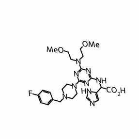 COCCN(CCOC)c1nc(NC(C(=O)O)c2cnc[nH]2)nc(N2CCN(Cc3ccc(F)cc3)CC2)n1